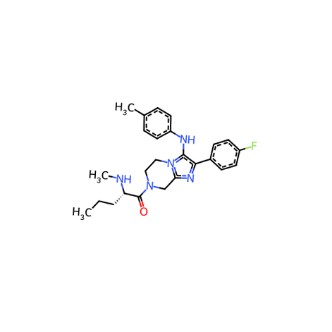 CCC[C@H](NC)C(=O)N1CCn2c(nc(-c3ccc(F)cc3)c2Nc2ccc(C)cc2)C1